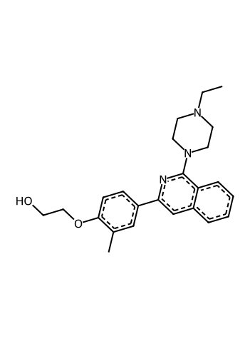 CCN1CCN(c2nc(-c3ccc(OCCO)c(C)c3)cc3ccccc23)CC1